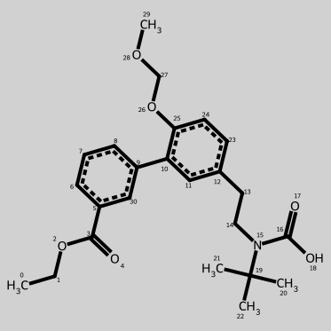 CCOC(=O)c1cccc(-c2cc(CCN(C(=O)O)C(C)(C)C)ccc2OCOC)c1